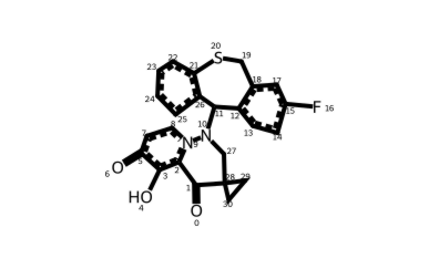 O=C1c2c(O)c(=O)ccn2N(C2c3ccc(F)cc3CSc3ccccc32)CC12CC2